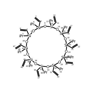 C=C[Si]1(C(C)C)O[Si](C=C)(C(C)C)O[Si](C=C)(C(C)C)O[Si](C=C)(C(C)C)O[Si](C=C)(C(C)C)O[Si](C=C)(C(C)C)O[Si](C=C)(C(C)C)O[Si](C=C)(C(C)C)O[Si](C=C)(C(C)C)O[Si](C=C)(C(C)C)O1